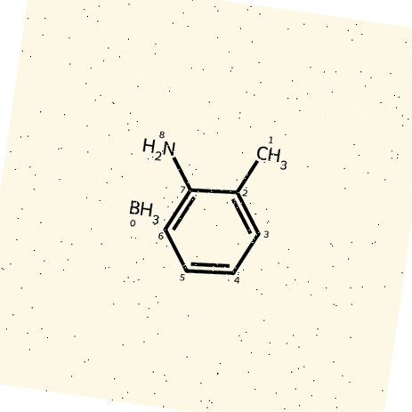 B.Cc1ccccc1N